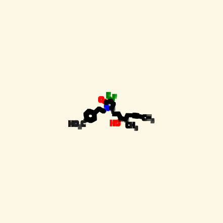 CC#CC[C@H](C)[C@@H](O)C=C[C@H]1CC(F)(F)C(=O)N1CCc1ccc(C(=O)O)cc1